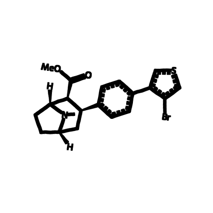 COC(=O)[C@H]1[C@@H](c2ccc(-c3cscc3Br)cc2)C[C@@H]2CC[C@H]1N2C